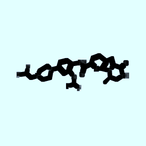 C[C@@H]1CNC(=O)c2cc3ccc(C(=O)Nc4ccc(N5CCN(CC(F)F)CC5)cc4OC(F)F)nc3n21